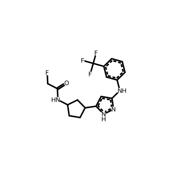 O=C(CF)NC1CCC(c2cc(Nc3cccc(C(F)(F)F)c3)n[nH]2)C1